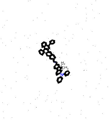 CC1(C)c2cc(/C=C/c3ccc4c(c3)CCC(c3cc(-c5ccccc5)c5ccccc5c3-c3ccccc3)=C4)ccc2-c2ccc(N(c3ccccc3)C3C=CC=CC3)cc21